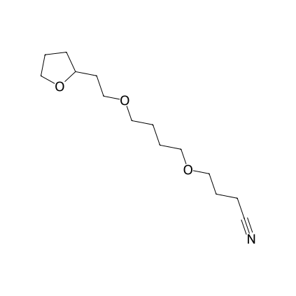 N#CCCCOCCCCOCCC1CCCO1